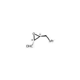 CCCC[C@@H]1O[C@H]1C=O